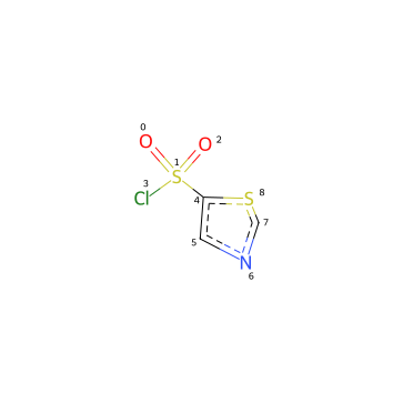 O=S(=O)(Cl)c1cncs1